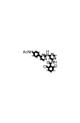 CC(=O)Nc1ccc(-c2ccnc(Nc3cc(NC(=O)c4c(Cl)cccc4Cl)ncn3)n2)cc1